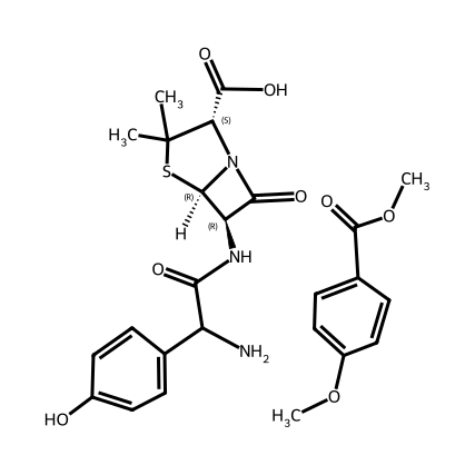 CC1(C)S[C@@H]2[C@H](NC(=O)C(N)c3ccc(O)cc3)C(=O)N2[C@H]1C(=O)O.COC(=O)c1ccc(OC)cc1